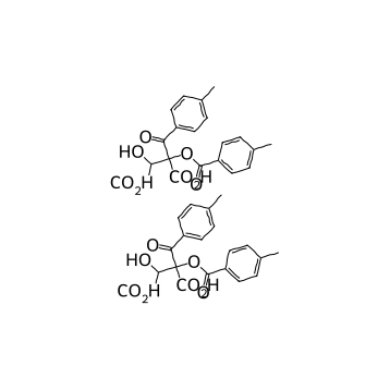 Cc1ccc(C(=O)OC(C(=O)O)(C(=O)c2ccc(C)cc2)C(O)C(=O)O)cc1.Cc1ccc(C(=O)OC(C(=O)O)(C(=O)c2ccc(C)cc2)C(O)C(=O)O)cc1